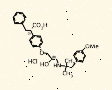 COc1ccc(CC(C)(C)NC[C@@H](O)COc2ccc([C@H](Cc3ccccc3)C(=O)O)cc2)cc1.Cl